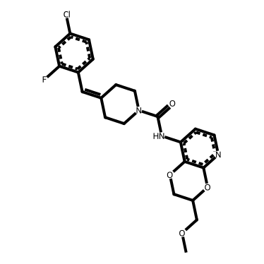 COCC1COc2c(NC(=O)N3CCC(=Cc4ccc(Cl)cc4F)CC3)ccnc2O1